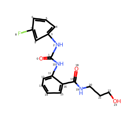 O=C(Nc1cccc(F)c1)Nc1ccccc1C(=O)NCCCO